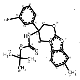 Cc1ccc2c(c1)nc1n2CC(NC(=O)OC(C)(C)C)(c2cccc(F)c2)CO1